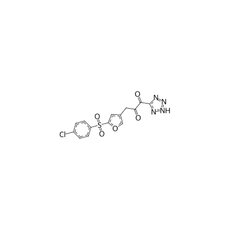 O=C(Cc1coc(S(=O)(=O)c2ccc(Cl)cc2)c1)C(=O)c1nn[nH]n1